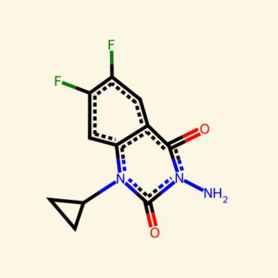 Nn1c(=O)c2cc(F)c(F)cc2n(C2CC2)c1=O